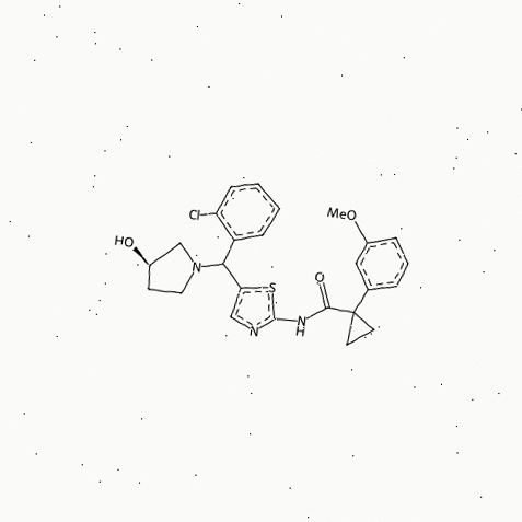 COc1cccc(C2(C(=O)Nc3ncc(C(c4ccccc4Cl)N4CC[C@@H](O)C4)s3)CC2)c1